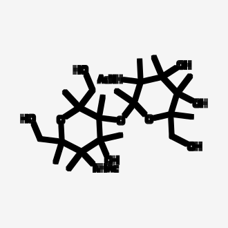 CC(=O)NC1(C)C(C)(CO)OC(C)(CO)C(C)(OC2(C)OC(C)(CO)C(C)(O)C(C)(O)C2(C)NC(C)=O)C1(C)O